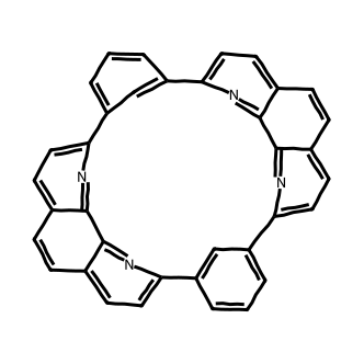 c1cc2cc(c1)c1ccc3ccc4ccc(nc4c3n1)c1cccc(c1)c1ccc3ccc4ccc2nc4c3n1